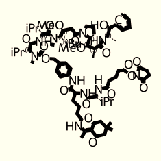 CC[C@@H](C)[C@H]([C@H](CC(=O)N1CCC[C@@H]1[C@@H](OC)[C@H](C)C(=O)N[C@@H](C)[C@H](O)c1ccccc1)OC)N(C)C(=O)[C@H](NC(=O)[C@@H](C(C)C)N(C)C(=O)OCc1ccc(NC(=O)C(CCCCNC(C)=C2C(=O)CC(C)(C)CC2=O)NC(=O)[C@H](NC(=O)CCCC(=O)ON2C(=O)CCC2=O)C(C)C)cc1)C(C)C